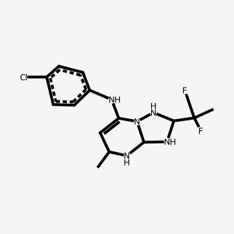 CC1C=C(Nc2ccc(Cl)cc2)N2NC(C(C)(F)F)NC2N1